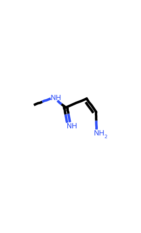 CNC(=N)/C=C\N